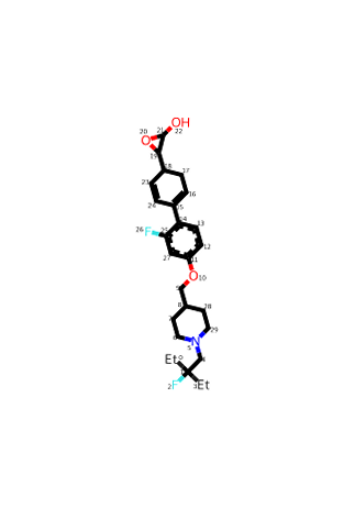 CCC(F)(CC)CN1CCC(COc2ccc(C3=CCC(C4OC4O)C=C3)c(F)c2)CC1